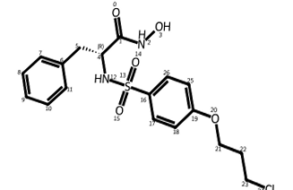 O=C(NO)[C@@H](Cc1ccccc1)NS(=O)(=O)c1ccc(OCCCCl)cc1